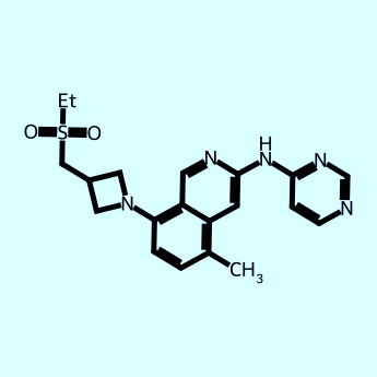 CCS(=O)(=O)CC1CN(c2ccc(C)c3cc(Nc4ccncn4)ncc23)C1